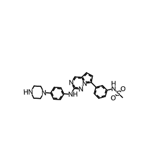 CS(=O)(=O)Nc1cccc(-c2ccc3cnc(Nc4ccc(N5CCNCC5)cc4)nn23)c1